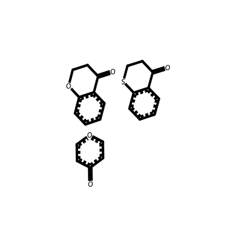 O=C1CCOc2ccccc21.O=C1CCSc2ccccc21.O=c1ccocc1